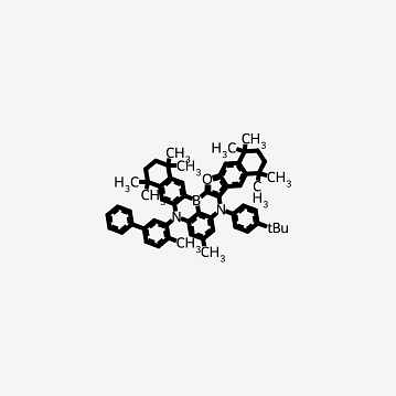 Cc1cc2c3c(c1)N(c1ccc(C(C)(C)C)cc1)c1c(oc4cc5c(cc14)C(C)(C)CCC5(C)C)B3c1cc3c(cc1N2c1cc(-c2ccccc2)ccc1C)C(C)(C)CCC3(C)C